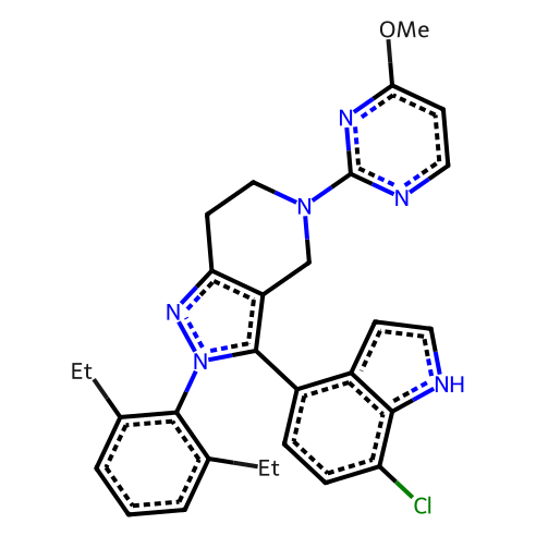 CCc1cccc(CC)c1-n1nc2c(c1-c1ccc(Cl)c3[nH]ccc13)CN(c1nccc(OC)n1)CC2